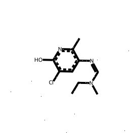 CCN(C)/C=N\c1cc(Cl)c(O)nc1C